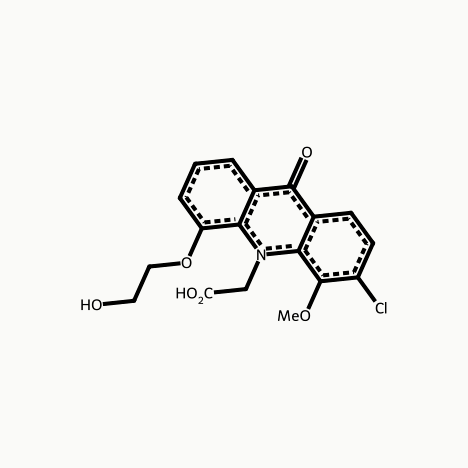 COc1c(Cl)ccc2c(=O)c3cccc(OCCO)c3n(CC(=O)O)c12